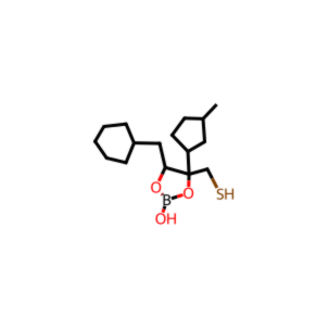 CC1CCC(C2(CS)OB(O)OC2CC2CCCCC2)C1